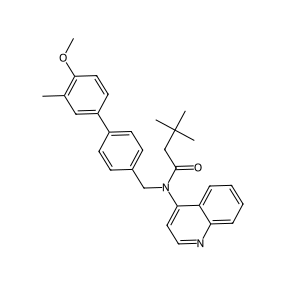 COc1ccc(-c2ccc(CN(C(=O)CC(C)(C)C)c3ccnc4ccccc34)cc2)cc1C